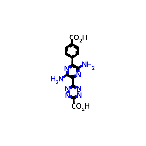 Nc1nc(-c2nnc(C(=O)O)nn2)c(N)nc1-c1ccc(C(=O)O)cc1